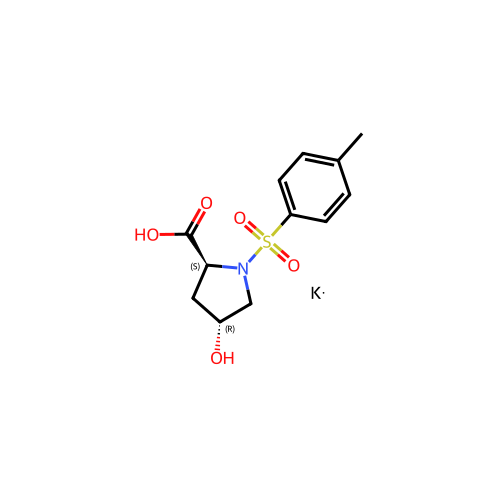 Cc1ccc(S(=O)(=O)N2C[C@H](O)C[C@H]2C(=O)O)cc1.[K]